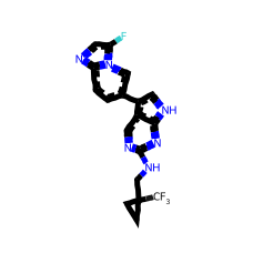 Fc1cnc2ccc(-c3c[nH]c4nc(NCC5(C(F)(F)F)CC5)ncc34)cn12